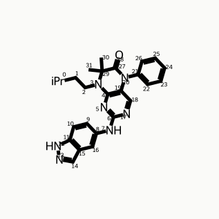 CC(C)CCN1c2nc(Nc3ccc4[nH]ncc4c3)ncc2N(c2ccccc2)C(=O)C1(C)C